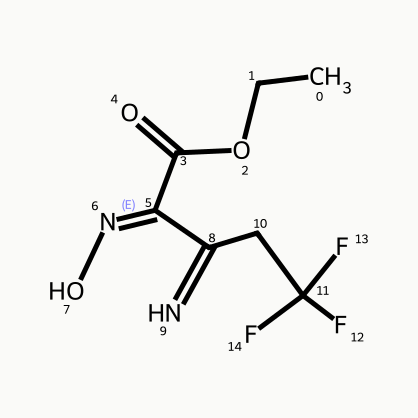 CCOC(=O)/C(=N/O)C(=N)CC(F)(F)F